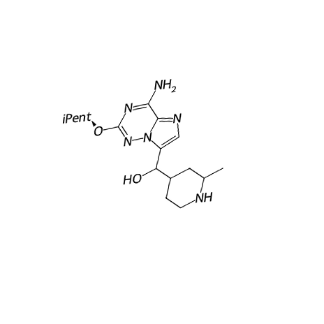 CCC[C@H](C)Oc1nc(N)c2ncc(C(O)C3CCNC(C)C3)n2n1